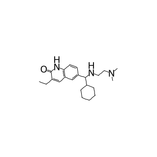 CCc1cc2cc(C(NCCN(C)C)C3CCCCC3)ccc2[nH]c1=O